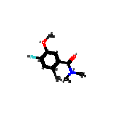 CCCCOc1cc(C(=O)N(C)C)c([N+](=O)[O-])cc1F